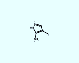 Cc1[c]n[nH]c1N